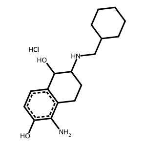 Cl.Nc1c(O)ccc2c1CCC(NCC1CCCCC1)C2O